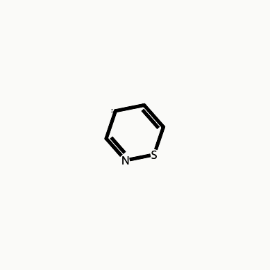 [C]1C=CSN=C1